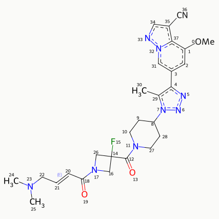 COc1cc(-c2nnn(C3CCN(C(=O)C4(F)CN(C(=O)/C=C/CN(C)C)C4)CC3)c2C)cn2ncc(C#N)c12